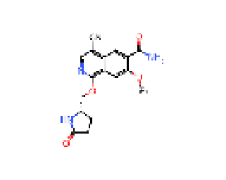 CC(C)Oc1cc2c(OC[C@@H]3CCC(=O)N3)ncc(C#N)c2cc1C(N)=O